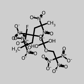 CC(CC(CC(C)([N+](=O)[O-])[N+](=O)[O-])(OC(O)(O)OCC([N+](=O)[O-])([N+](=O)[O-])[N+](=O)[O-])C(F)([N+](=O)[O-])[N+](=O)[O-])([N+](=O)[O-])[N+](=O)[O-]